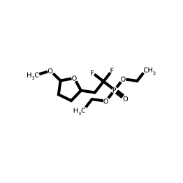 CCOP(=O)(OCC)C(F)(F)CC1CCC(OC)O1